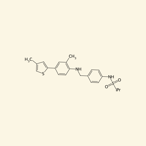 Cc1csc(-c2ccc(NCc3ccc(NS(=O)(=O)C(C)C)cc3)c(C)c2)c1